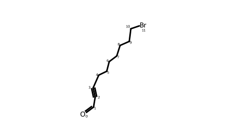 O=CC#CCCCCCCCBr